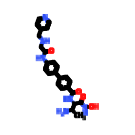 C[C@@H](N)[C@H](NC(=O)c1ccc(-c2ccc(NC(=O)CNCc3ccncc3)cc2)cc1)C(=O)NO